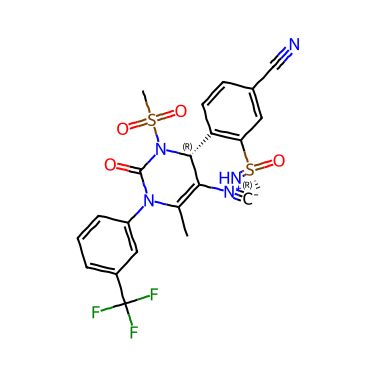 [C-]#[N+]C1=C(C)N(c2cccc(C(F)(F)F)c2)C(=O)N(S(C)(=O)=O)[C@@H]1c1ccc(C#N)cc1[S@](C)(=N)=O